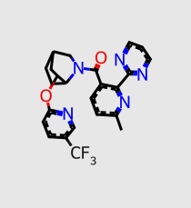 Cc1ccc(C(=O)N2CC3CCC2C(Oc2ccc(C(F)(F)F)cn2)C3)c(-c2ncccn2)n1